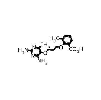 Cc1cccc(C(=O)O)c1OCCCOc1c(C)nc(N)nc1N